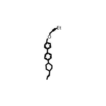 CC=CC1CCC(c2ccc(-c3ccc(COCC#CCC)cc3)cc2)CC1